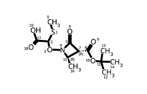 CSC(ON1C(=O)[C@H](C(=O)OC(C)(C)C)[C@H]1C)C(=O)O